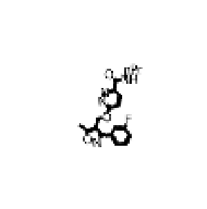 CCCNC(=O)c1ccc(OCc2c(-c3cccc(F)c3)noc2C)nn1